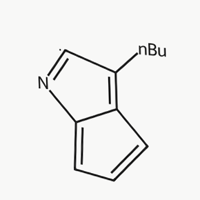 CCCCC1=C2C=CC=C2N=[C]1